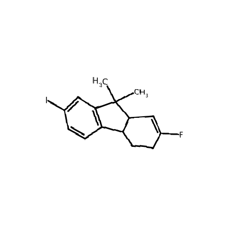 CC1(C)c2cc(I)ccc2C2CCC(F)=CC21